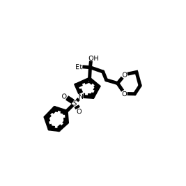 CCC(O)(CCC1OCCCO1)c1ccn(S(=O)(=O)c2ccccc2)c1